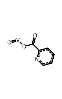 [O]=[V][O]C(=O)c1ccccn1